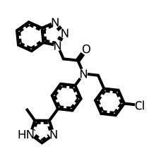 Cc1[nH]cnc1-c1ccc(N(Cc2cccc(Cl)c2)C(=O)Cn2nnc3ccccc32)cc1